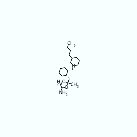 CCCCC1CCCN(C[C@H]2CCCC[C@H]2CC(C)(C)OC(N)=O)C1